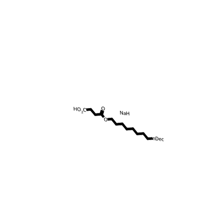 CCCCCCCCCCCCCCCCCCOC(=O)CCC(=O)O.[NaH]